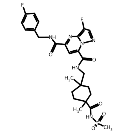 CC1(CNC(=O)c2cc(C(=O)NCc3ccc(F)cc3)nc3c(F)cnn23)CCC(C)(C(=O)NS(C)(=O)=O)CC1